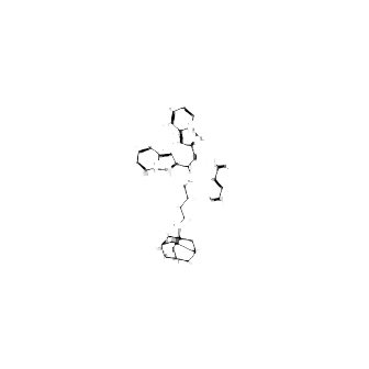 O=C(O)C=CC(=O)O.c1ccn2nc(CC(OCCCCNC34CC5CC(CC(C5)C3)C4)c3cc4ccccn4n3)cc2c1